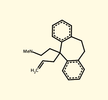 C=CCC1(CCNC)c2ccccc2CCc2ccccc21